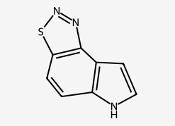 c1cc2c(ccc3snnc32)[nH]1